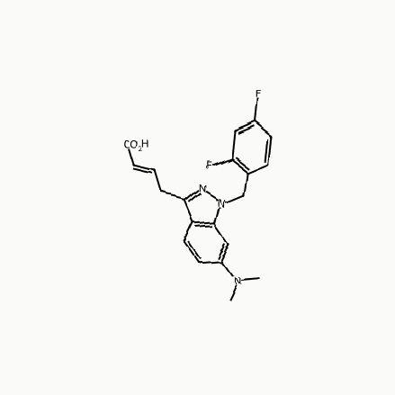 CN(C)c1ccc2c(CC=CC(=O)O)nn(Cc3ccc(F)cc3F)c2c1